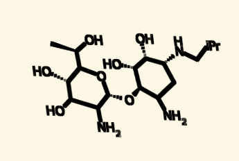 CC(C)CN[C@@H]1CC(N)[C@@H](O[C@H]2OC([C@@H](C)O)[C@@H](O)C(O)C2N)[C@H](O)[C@@H]1O